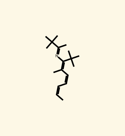 C\C=C/C=C\C(C)=C(\N=C(/C)C(C)(C)C)C(C)(C)C